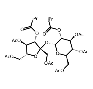 CC(=O)OC[C@H]1O[C@@](COC(C)=O)(O[C@H]2O[C@H](COC(C)=O)[C@@H](OC(C)=O)[C@H](OC(C)=O)[C@H]2OC(=O)C(C)C)[C@@H](OC(=O)C(C)C)[C@@H]1OC(C)=O